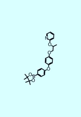 CC(COc1ccc(Oc2ccc(B3OC(C)(C)C(C)(C)O3)cc2)cc1)Oc1ccccn1